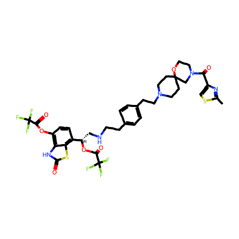 Cc1nc(C(=O)N2CCOC3(CCN(CCc4ccc(CCNC[C@H](OC(=O)C(F)(F)F)c5ccc(OC(=O)C(F)(F)F)c6[nH]c(=O)sc56)cc4)CC3)C2)cs1